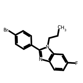 CCCn1c(-c2ccc(Br)cc2)nc2ccc(F)cc21